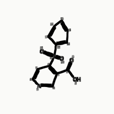 O=C(O)c1cnccc1S(=O)(=O)c1ccccc1